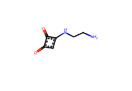 NCCNc1cc(=O)c1=O